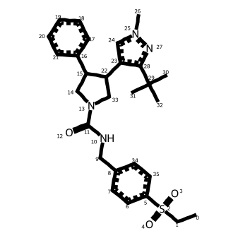 CCS(=O)(=O)c1ccc(CNC(=O)N2CC(c3ccccc3)C(c3cn(C)nc3C(C)(C)C)C2)cc1